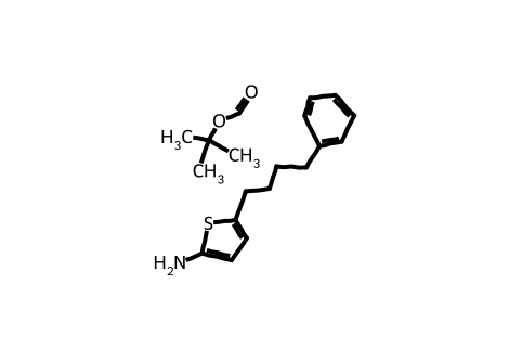 CC(C)(C)OC=O.Nc1ccc(CCCCc2ccccc2)s1